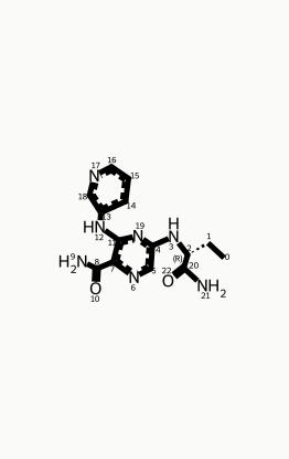 CC[C@@H](Nc1cnc(C(N)=O)c(Nc2cccnc2)n1)C(N)=O